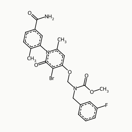 COC(=O)N(COc1cc(C)n(-c2cc(C(N)=O)ccc2C)c(=O)c1Br)Cc1cccc(F)c1